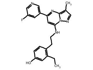 CCc1cc(O)ccc1CCNc1cc(-c2cncc(F)c2)nc2c(C)cnn12